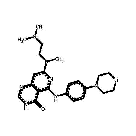 CN(C)CCN(C)c1cc2nc[nH]c(=O)c2c(Nc2ccc(N3CCOCC3)cc2)n1